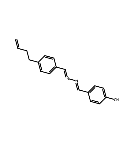 C=CCCc1ccc(C=NN=Cc2ccc(C#N)cc2)cc1